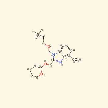 C[Si](C)(C)CCOCn1c(COC2CCCCO2)nc2c(C(=O)O)cccc21